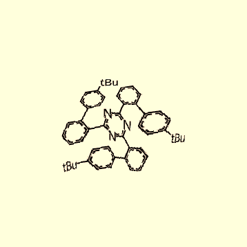 CC(C)(C)c1ccc(-c2ccccc2-c2nc(-c3ccccc3-c3ccc(C(C)(C)C)cc3)nc(-c3ccccc3-c3ccc(C(C)(C)C)cc3)n2)cc1